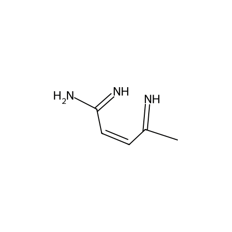 CC(=N)/C=C\C(=N)N